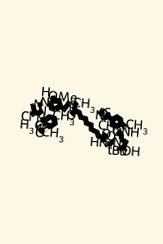 COc1cc(CCN(C)C(=O)CCCCCCCCC(=O)N[C@H](C(=O)N2C[C@H](O)CC2C(=O)N[C@@H](C)c2ccc(-c3scnc3C)cc2)C(C)(C)C)c(C)cc1Nc1ncc(Cl)c(Nc2ccccc2P(C)(C)=O)n1